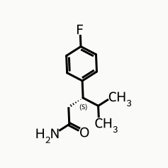 CC(C)[C@H](CC(N)=O)c1ccc(F)cc1